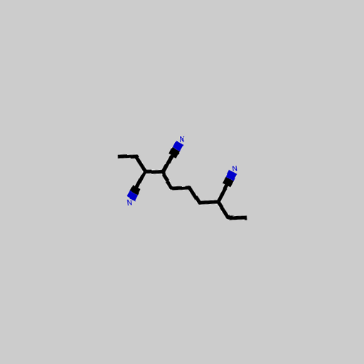 CCC(C#N)CCCC(C#N)C(C#N)CC